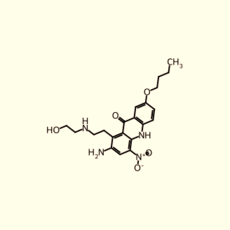 CCCCOc1ccc2[nH]c3c([N+](=O)[O-])cc(N)c(CCNCCO)c3c(=O)c2c1